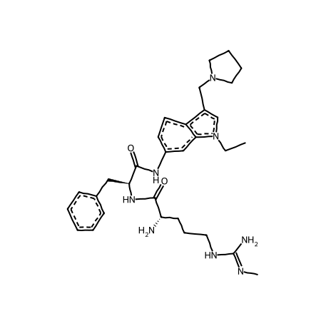 CCn1cc(CN2CCCC2)c2ccc(NC(=O)[C@H](Cc3ccccc3)NC(=O)[C@@H](N)CCCN/C(N)=N/C)cc21